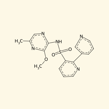 COc1nc(C)cnc1NS(=O)(=O)c1cccnc1-c1cccnc1